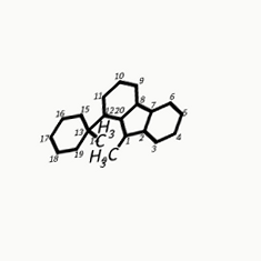 CC1C2CCCCC2C2CCCC(C3(C)CCCCC3)C12